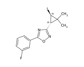 CC1(C)[C@H](I)[C@H]1c1noc(-c2cccc(F)c2)n1